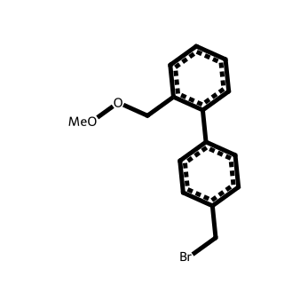 COOCc1ccccc1-c1ccc(CBr)cc1